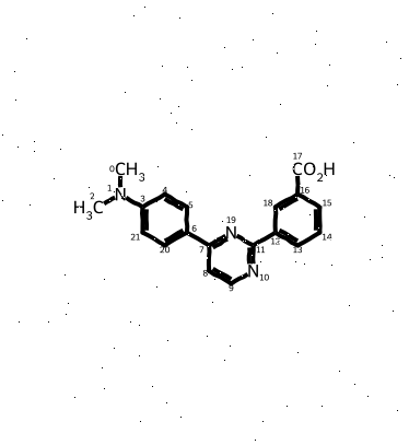 CN(C)c1ccc(-c2ccnc(-c3cccc(C(=O)O)c3)n2)cc1